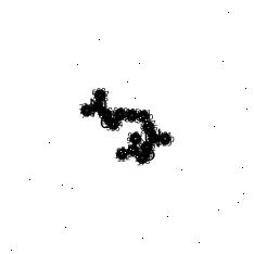 c1ccc(-c2cc(-c3ccccc3)cc(-c3cccc4oc5cc(-c6nc(-c7ccccc7)nc(-c7ccc(-c8cccc(-c9ccc(-c%10cccc(-c%11cccc%12oc%13cc(-c%14nc(-c%15ccccc%15)nc(-c%15ccccc%15)n%14)ccc%13c%11%12)c%10)cc9)c8)cc7)n6)ccc5c34)c2)cc1